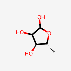 C[C@H]1OC(O)C(O)[C@@H]1O